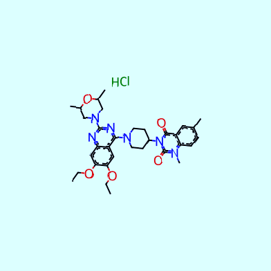 CCOc1cc2nc(N3CC(C)OC(C)C3)nc(N3CCC(n4c(=O)c5cc(C)ccc5n(C)c4=O)CC3)c2cc1OCC.Cl